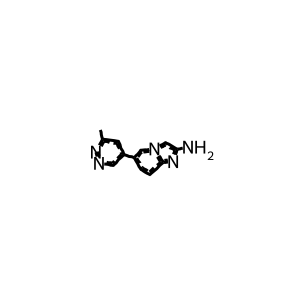 Cc1cc(-c2ccc3nc(N)cn3c2)cnn1